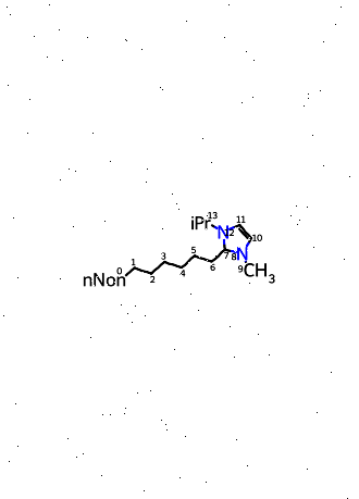 CCCCCCCCCCCCCCCC1N(C)C=CN1C(C)C